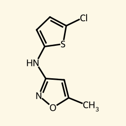 Cc1cc(Nc2ccc(Cl)s2)no1